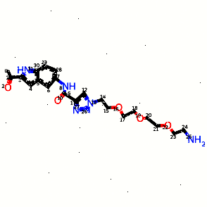 CC(=O)c1cc2cc(NC(=O)c3cn(CCOCCOCCOCCN)nn3)ccc2[nH]1